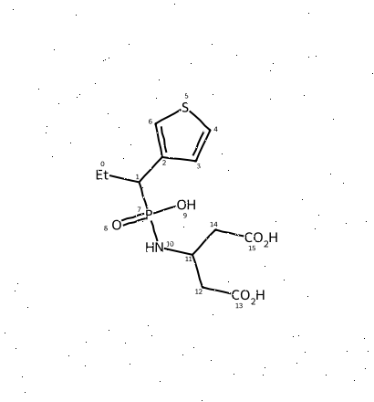 CCC(c1ccsc1)P(=O)(O)NC(CC(=O)O)CC(=O)O